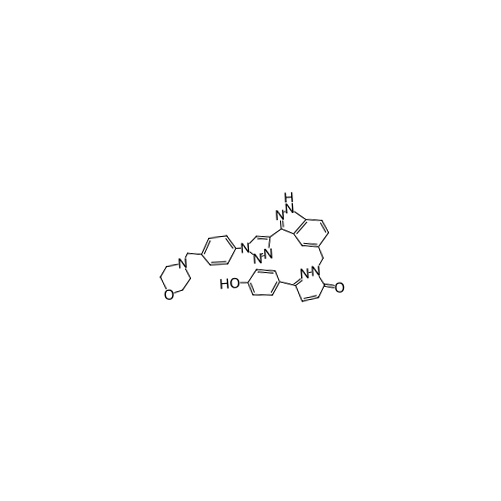 O=c1ccc(-c2ccc(O)cc2)nn1Cc1ccc2[nH]nc(-c3cn(-c4ccc(CN5CCOCC5)cc4)nn3)c2c1